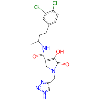 CC(CCc1ccc(Cl)c(Cl)c1)NC(=O)C1=C(O)C(=O)N(Cc2c[nH]nn2)C1